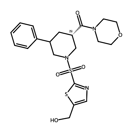 O=C([C@H]1CC(c2ccccc2)CN(S(=O)(=O)c2ncc(CO)s2)C1)N1CCOCC1